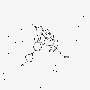 CC(=O)N1CCN(C2=CCC(C)([C@H]3C[C@@]4(C)[C@@H](CC[C@@]4(O)C#CC(C)(C)C)[C@@H]4CCC5=CC(=O)CC[C@]5(C)[C@H]43)C=C2)CC1